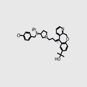 CC(C)N(Cc1ccc(Cl)cc1)C1CCN(CC/C=C2/c3cc(C(C)(C)O)ccc3OCc3ncccc32)C1